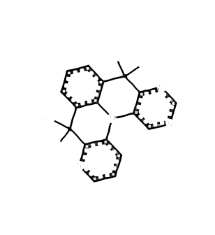 CC1(C)c2cccc3c2N(c2cccnc21)c1cncnc1C3(C)C